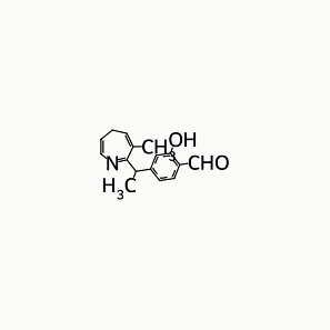 CC1=CCC=CN=C1C(C)c1ccc(C=O)c(O)c1